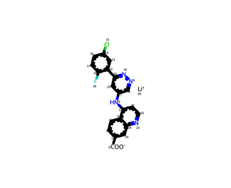 O=C([O-])c1ccc2c(Nc3cnnc(-c4cc(Cl)ccc4F)c3)ccnc2c1.[Li+]